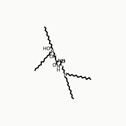 CCCCCCCCCCCCN(CCCCCCCCCCCC)CCCC[C@@H]1NC(=O)[C@@H](CCCCN(C[C@H](O)CCCCCCCCCC)C[C@H](O)CCCCCCCCCC)NC1=O